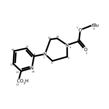 CC(C)(C)OC(=O)N1CCN(c2cccc(C(=O)O)n2)CC1